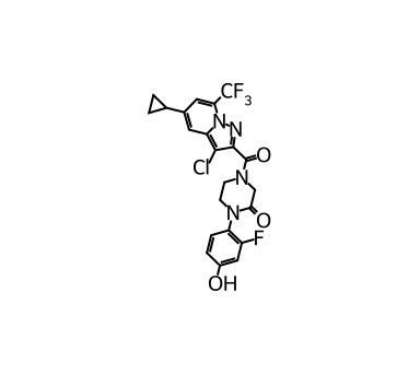 O=C(c1nn2c(C(F)(F)F)cc(C3CC3)cc2c1Cl)N1CCN(c2ccc(O)cc2F)C(=O)C1